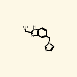 OCc1nc2cc(Cn3ccnc3)ccc2[nH]1